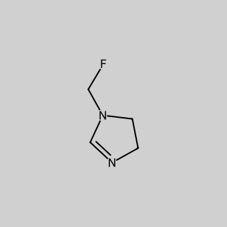 FCN1C=NCC1